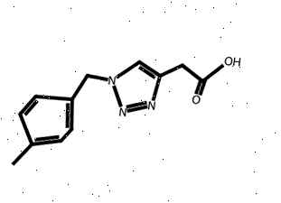 Cc1ccc(Cn2cc(CC(=O)O)nn2)cc1